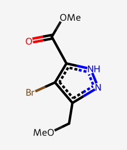 COCc1n[nH]c(C(=O)OC)c1Br